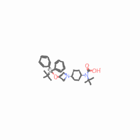 CC(C)(C)N(C(=O)O)[C@H]1CC[C@H](N2CC(O[Si](c3ccccc3)(c3ccccc3)C(C)(C)C)C2)CC1